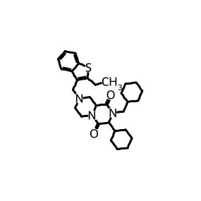 CCc1sc2ccccc2c1CN1CCN2C(=O)C(C3CCCCC3)N(CC3CCCCC3)C(=O)C2C1